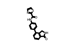 O=C(Nc1ccc(-c2cccc3c2CNC3=O)cc1)c1nccs1